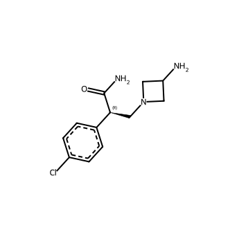 NC(=O)[C@@H](CN1CC(N)C1)c1ccc(Cl)cc1